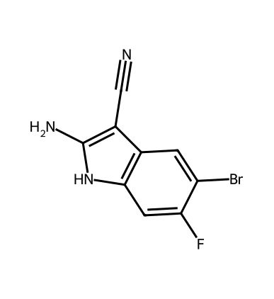 N#Cc1c(N)[nH]c2cc(F)c(Br)cc12